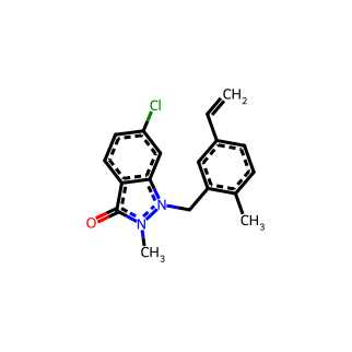 C=Cc1ccc(C)c(Cn2c3cc(Cl)ccc3c(=O)n2C)c1